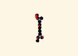 C1=CCC(N(c2ccc(-c3ccc(-c4ccc(-c5ccc(-c6ccc(N(c7ccccc7)c7ccc8sc9ccccc9c8c7)cc6)cc5)cc4)cc3)cc2)c2ccc3oc4ccccc4c3c2)C=C1